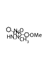 COc1ccc(-c2c(C)n3c4c(c(-c5ccccc5)nn4c2=O)NCC3)cc1